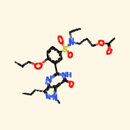 CCCOc1ccc(S(=O)(=O)N(CC)CCCOC(C)=O)cc1-c1nc2c(CCC)nn(C)c2c(=O)[nH]1